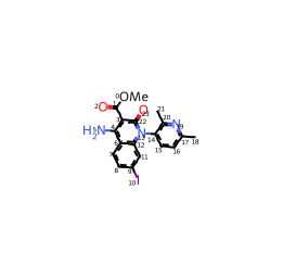 COC(=O)c1c(N)c2ccc(I)cc2n(-c2ccc(C)nc2C)c1=O